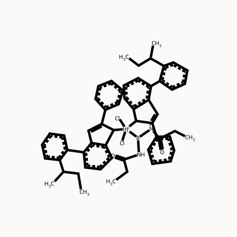 CCC(=O)N[B](NC(=O)CC)[Hf]([Cl])([Cl])([CH]1C(c2ccccc2)=Cc2c(-c3ccccc3C(C)CC)cccc21)[CH]1C(c2ccccc2)=Cc2c(-c3ccccc3C(C)CC)cccc21